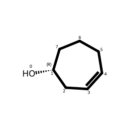 O[C@H]1CC=CCCC1